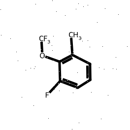 Cc1cccc(F)c1OC(F)(F)F